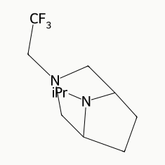 CC(C)N1C2CCC1CN(CC(F)(F)F)C2